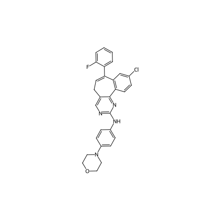 Fc1ccccc1C1=CCc2cnc(Nc3ccc(N4CCOCC4)cc3)nc2-c2ccc(Cl)cc21